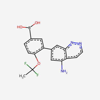 CC(F)(F)Oc1ccc(B(O)O)cc1-c1cc(N)c2ccnnc2c1